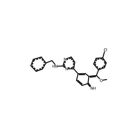 CO/C(=C1/C=C(c2ccnc(NCc3ccccc3)n2)C=CC1=N)c1ccc(Cl)cc1